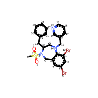 CS(=O)(=O)N1Cc2cc(Br)cc(Br)c2N(Cc2cccnc2)CC1Cc1ccccc1